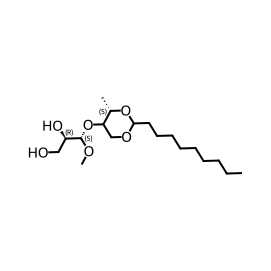 CCCCCCCCCC1OCC(O[C@H](OC)[C@H](O)CO)[C@H](C)O1